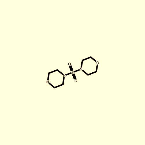 O=S(=O)(N1CC[N]CC1)N1CCOCC1